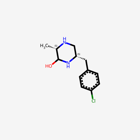 C[C@@H]1NC[C@H](Cc2ccc(Cl)cc2)NC1O